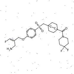 NC/C(=C\F)COc1ccc(S(=O)(=O)CC23CCC(C(=O)N4CCC(F)(F)CC4)(CC2)CC3)cc1